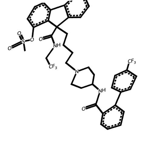 CS(=O)(=O)Oc1cccc2c1C(CCCCN1CCC(NC(=O)c3ccccc3-c3ccc(C(F)(F)F)cc3)CC1)(C(=O)NCC(F)(F)F)c1ccccc1-2